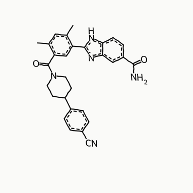 Cc1cc(C)c(-c2nc3cc(C(N)=O)ccc3[nH]2)cc1C(=O)N1CCC(c2ccc(C#N)cc2)CC1